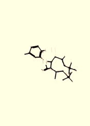 Cc1ccc(O)c(N2C(=O)C(C(C)CC(C)(C)C)C2CC(C)CC(C)(C)C)c1